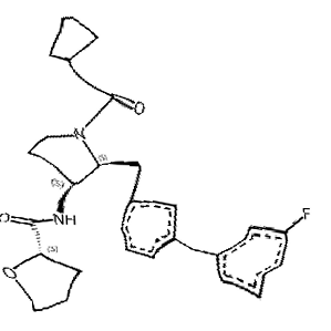 O=C(N[C@H]1CCN(C(=O)C2CCC2)[C@H]1Cc1cccc(-c2cccc(F)c2)c1)[C@@H]1CCCO1